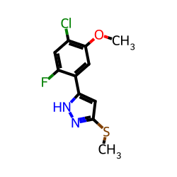 COc1cc(-c2cc(SC)n[nH]2)c(F)cc1Cl